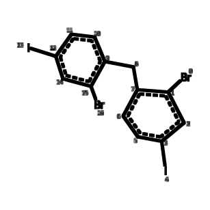 Brc1cc(I)ccc1Cc1ccc(I)cc1Br